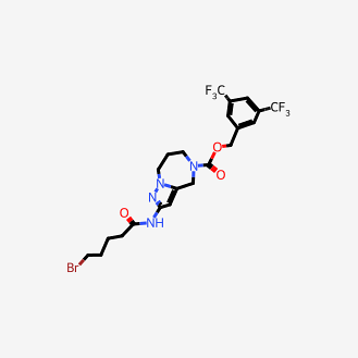 O=C(CCCCBr)Nc1cc2n(n1)CCCN(C(=O)OCc1cc(C(F)(F)F)cc(C(F)(F)F)c1)C2